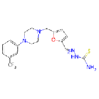 NC(=S)N/N=C/c1ccc(CN2CCN(c3cccc(C(F)(F)F)c3)CC2)o1